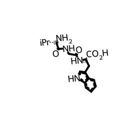 CC(C)[C@H](N)C(=O)NCC(=O)N[C@@H](Cc1c[nH]c2ccccc12)C(=O)O